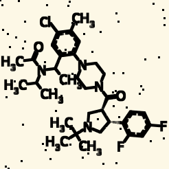 CC(=O)N(C(C)C)C(C)c1cc(Cl)c(C)cc1N1CCN(C(=O)[C@@H]2CN(C(C)(C)C)C[C@H]2c2ccc(F)cc2F)CC1